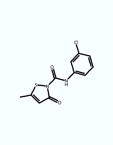 Cc1cc(=O)n(C(=O)Nc2cccc(Cl)c2)s1